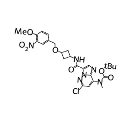 COc1ccc(COC2CC(NC(=O)c3cnc4c(N(C)C(=O)OC(C)(C)C)cc(Cl)nn34)C2)cc1[N+](=O)[O-]